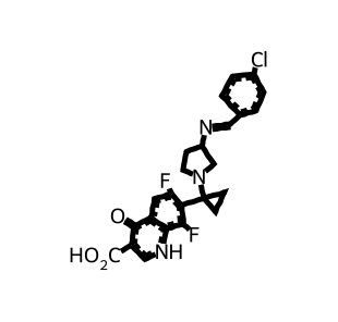 O=C(O)c1c[nH]c2c(F)c(C3(N4CCC(/N=C/c5ccc(Cl)cc5)C4)CC3)c(F)cc2c1=O